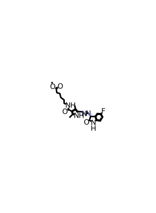 COC(=O)CCCCCNC(=O)c1c(C)[nH]c(/C=N/N=C2\C(=O)Nc3ccc(F)cc32)c1C